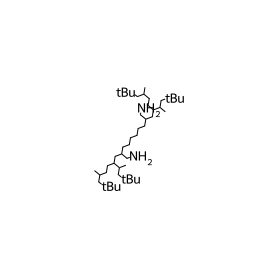 CC(CCC(CC(CN)CCCCCCC(CN)CC(CCC(C)CC(C)(C)C)C(C)CC(C)(C)C)C(C)CC(C)(C)C)CC(C)(C)C